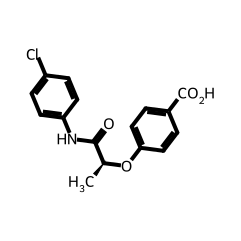 C[C@H](Oc1ccc(C(=O)O)cc1)C(=O)Nc1ccc(Cl)cc1